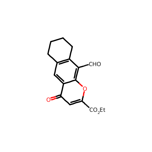 CCOC(=O)c1cc(=O)c2cc3c(c(C=O)c2o1)CCCC3